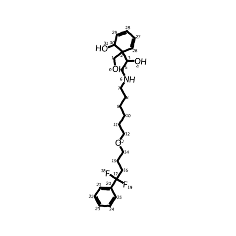 OCC1(C(O)CNCCCCCCOCCCC(F)(F)c2ccccc2)C=CC=CC1O